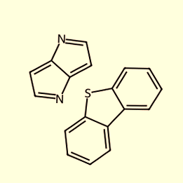 C1=NC2=CC=NC2=C1.c1ccc2c(c1)sc1ccccc12